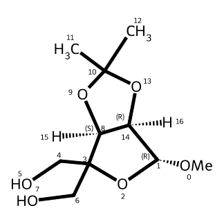 CO[C@@H]1OC(CO)(CO)[C@H]2OC(C)(C)O[C@@H]12